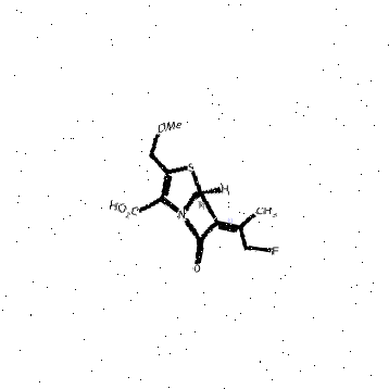 COCC1=C(C(=O)O)N2C(=O)/C(=C(/C)CF)[C@H]2S1